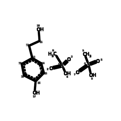 CS(=O)(=O)O.CS(=O)(=O)O.OCCc1ccc(O)cc1